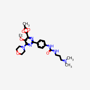 CCOc1c(C2OC(C)O2)nc(-c2ccc(NC(=O)NCCCN(C)C)cc2)nc1N1CCOCC1